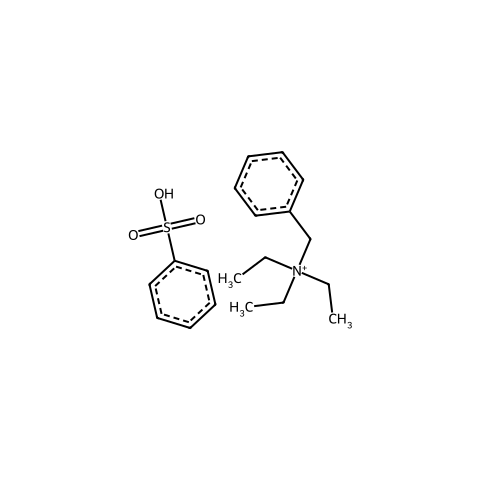 CC[N+](CC)(CC)Cc1ccccc1.O=S(=O)(O)c1ccccc1